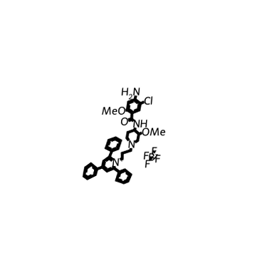 COc1cc(N)c(Cl)cc1C(=O)NC1CCN(CCC[n+]2c(-c3ccccc3)cc(-c3ccccc3)cc2-c2ccccc2)CC1OC.F[B-](F)(F)F